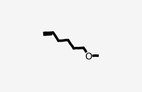 C=CCCCCOC